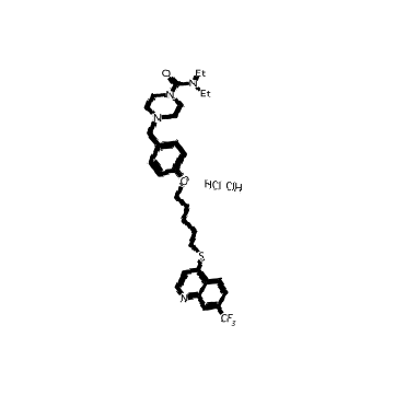 CCN(CC)C(=O)N1CCN(Cc2ccc(OCCCCCSc3ccnc4cc(C(F)(F)F)ccc34)cc2)CC1.Cl.Cl